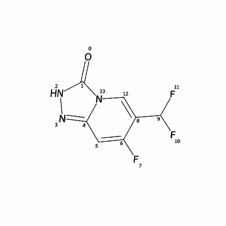 O=c1[nH]nc2cc(F)c(C(F)F)cn12